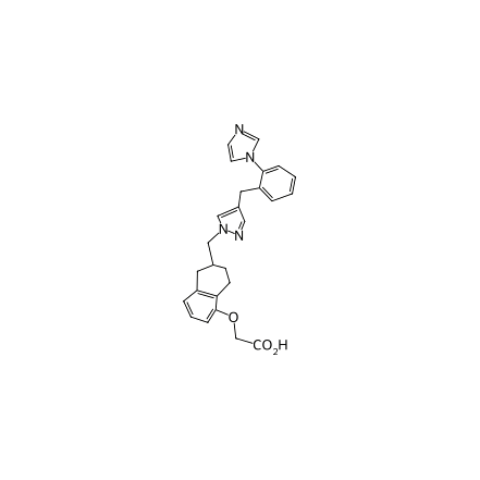 O=C(O)COc1cccc2c1CCC(Cn1cc(Cc3ccccc3-n3ccnc3)cn1)C2